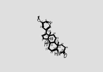 COc1cncc(C2=CC[C@H]3[C@@H]4CC=C5NC(=O)CCC5(C)C4CCC23C)c1